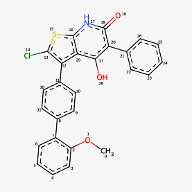 COc1ccccc1-c1ccc(-c2c(Cl)sc3[nH]c(=O)c(-c4ccccc4)c(O)c23)cc1